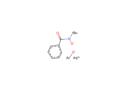 CC(=O)[O-].CC(C)(C)N([O-])C(=O)c1ccccc1.[Pd+2]